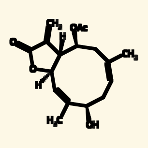 C=C1C(=O)O[C@@H]2/C=C(/C)[C@H](O)C/C=C(/C)C[C@H](OC(C)=O)[C@@H]12